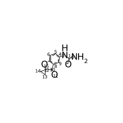 NC(=O)Nc1ccc2c(c1)C(=O)C1(CC1)O2